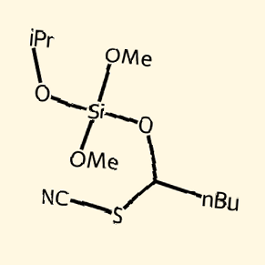 CCCCC(O[Si](OC)(OC)OC(C)C)SC#N